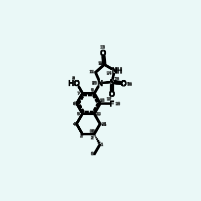 CC[C@@H]1CCc2cc(O)c(N3CC(=O)NS3(=O)=O)c(F)c2C1